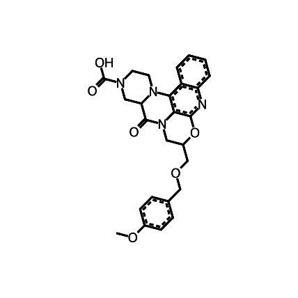 COc1ccc(COCC2CN3C(=O)C4CN(C(=O)O)CCN4c4c3c(nc3ccccc43)O2)cc1